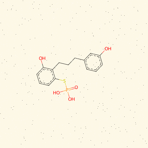 O=P(O)(O)Sc1cccc(O)c1CCCc1cccc(O)c1